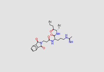 CC(=N)NCCCC(NC(=O)CCN1C(=O)C2C3C=CC(C3)C2C1=O)C(=O)N[C@@H](CC(C)=O)C(=O)CCC(C)=O